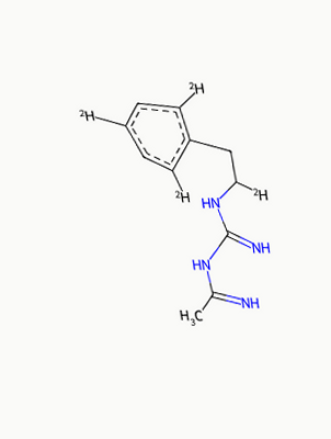 [2H]c1cc([2H])c(CC([2H])NC(=N)NC(C)=N)c([2H])c1